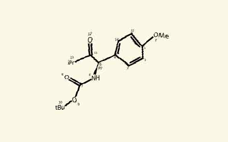 COc1ccc([C@@H](NC(=O)OC(C)(C)C)C(=O)C(C)C)cc1